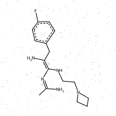 C/C(N)=N/C(NCCN1CCC1)=C(\N)Cc1ccc(F)cc1